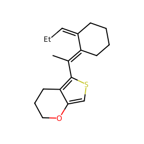 CC/C=C1/CCCC/C1=C(/C)c1scc2c1CCCO2